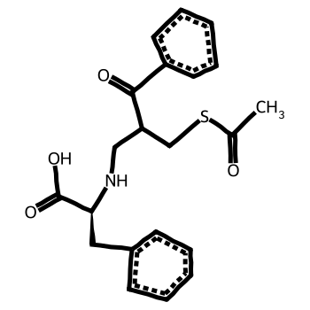 CC(=O)SCC(CN[C@@H](Cc1ccccc1)C(=O)O)C(=O)c1ccccc1